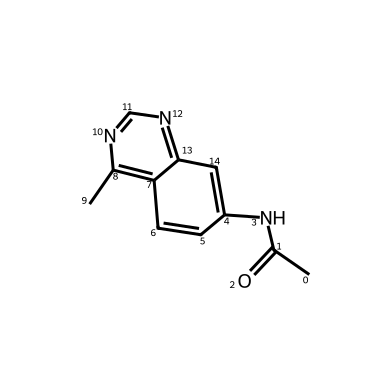 CC(=O)Nc1ccc2c(C)ncnc2c1